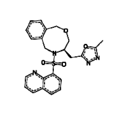 Cc1nnc(C[C@@H]2COCc3ccccc3CN2S(=O)(=O)c2cccc3cccnc23)o1